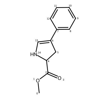 COC(=O)C1CC(c2ccccc2)=CN1